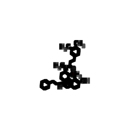 Cc1ccc(CCC(=O)N(C)C2CC[C@@]3(O)[C@H]4Cc5ccc(O)c6c5[C@@]3(CCN4CCc3ccccc3)C2(C)O6)cc1C